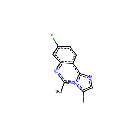 Cc1cnc2c3ccc(F)cc3nc(C(C)(C)C)n12